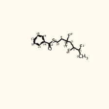 CC(F)C(F)CC(F)(F)CCSC(=O)c1ccccc1